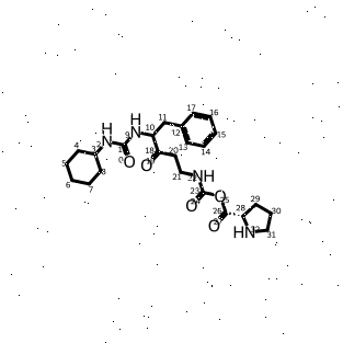 O=C(NC1CCCCC1)NC(Cc1ccccc1)C(=O)CCNC(=O)OC(=O)[C@@H]1CCCN1